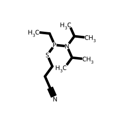 CCP(SCCC#N)N(C(C)C)C(C)C